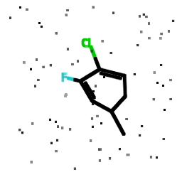 CC1C=C(F)C(Cl)=CC1